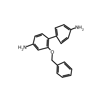 Nc1ccc(-c2ccc(N)cc2OCc2ccccc2)cc1